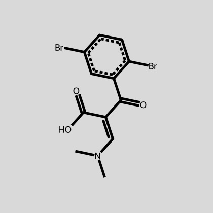 CN(C)C=C(C(=O)O)C(=O)c1cc(Br)ccc1Br